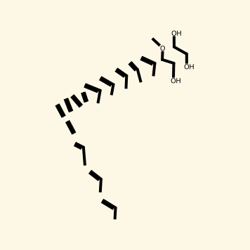 C=C.C=C.C=C.C=C.C=C.C=CC.C=CC.C=CC.C=CC.C=CC.C=CC.C=CC.C=CC.COCCO.OCCO